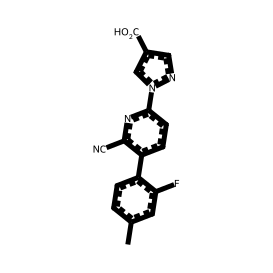 Cc1ccc(-c2ccc(-n3cc(C(=O)O)cn3)nc2C#N)c(F)c1